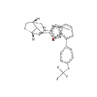 Cc1cc(N2C[C@H]3CC[C@@H](C2)[C@@H]3Nc2nc3c(-c4ccc(SC(F)(F)F)cc4)cccn3n2)sn1